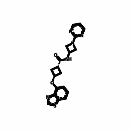 O=C(NC1CN(c2ncccn2)C1)[C@H]1C[C@H](Oc2cccc3scnc23)C1